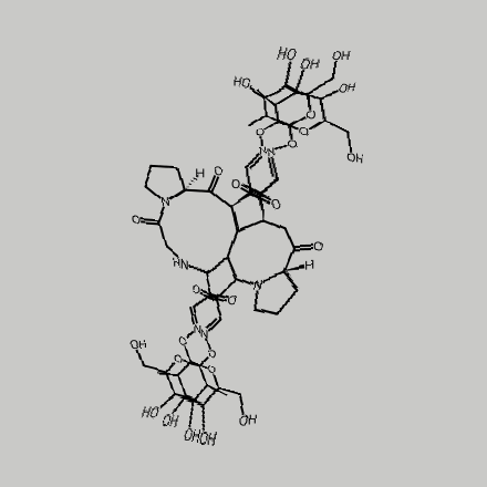 CC1C(O/N=C/C(=O)C2NCC(=O)N3CCC[C@H]3C(=O)[C@@H](C(=O)/C=N/OC3OC(CO)C(O)C(O)C3C)C3C2C(C(=O)/C=N/OC2OC(CO)C(O)C(O)C2C)N2CCC[C@H]2C(=O)C[C@@H]3C(=O)/C=N/OC2OC(CO)C(O)C(O)C2C)OC(CO)C(O)C1O